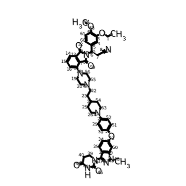 CCOc1cc([C@@H](CC#N)N2C(=O)c3cccc(N4CCN(CCC5CCN(c6ccc(Oc7ccc8c(N9CCC(=O)NC9=O)nn(C)c8c7)cc6)CC5)CC4)c3C2=O)ccc1OC